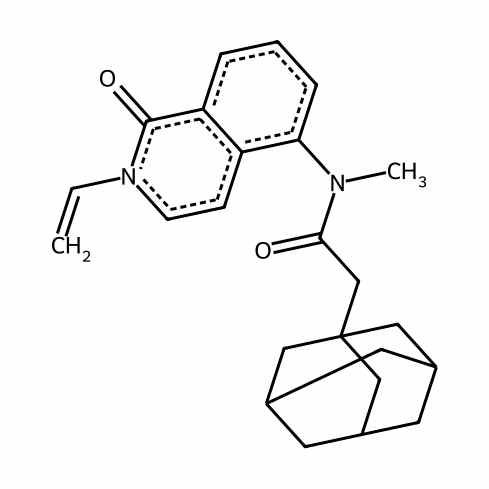 C=Cn1ccc2c(N(C)C(=O)CC34CC5CC(CC(C5)C3)C4)cccc2c1=O